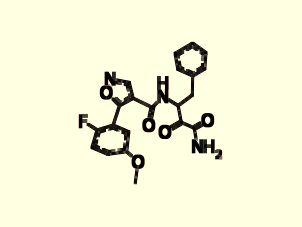 COc1ccc(F)c(-c2oncc2C(=O)NC(Cc2ccccc2)C(=O)C(N)=O)c1